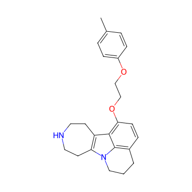 Cc1ccc(OCCOc2ccc3c4c2c2c(n4CCC3)CCNCC2)cc1